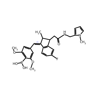 COc1cc(/C=C2\c3ccc(F)cc3C(CC(=O)NCc3cccn3C)C2C)cc(OC)c1B(O)O